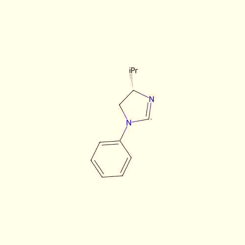 CC(C)[C@H]1CN(c2ccccc2)[C]=N1